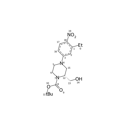 CCc1cc(N2CCN(C(=O)OC(C)(C)C)[C@@H](CO)C2)ccc1[N+](=O)[O-]